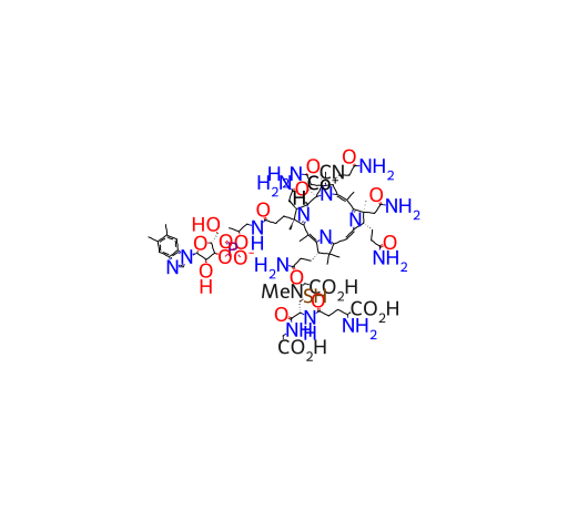 C/C1=C2N=C(/C=C3N=C(/C(C)=C4/[C@@H](CCC(N)=O)[C@](C)(CC(N)=O)[C@](C)([C@@H]5N=C1[C@](C)(CCC(=O)NCC(C)OP(=O)([O-])O[C@H]1[C@@H](O)[C@@H](n6cnc7cc(C)c(C)cc76)O[C@@H]1CO)[C@H]5CC(N)=O)[N]4[Co+][C]#N)[C@@](C)(CC(N)=O)[C@@H]\3CCC(N)=O)C(C)(C)[C@@H]/2CCC(N)=O.CNCC(=O)O.N[C@@H](CCC(=O)N[C@@H](CS)C(=O)NCC(=O)O)C(=O)O